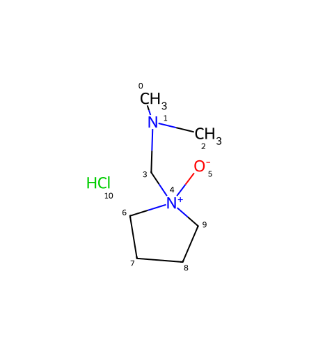 CN(C)C[N+]1([O-])CCCC1.Cl